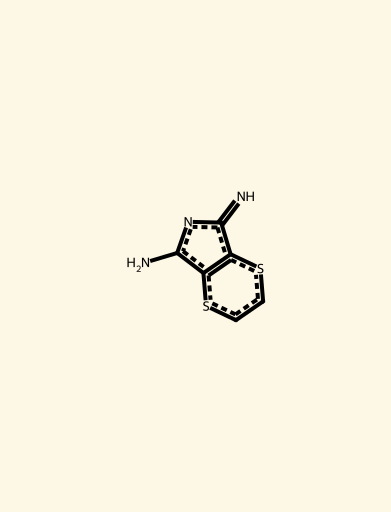 N=c1nc(N)c2sccsc1=2